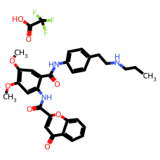 CCCNCCc1ccc(NC(=O)c2cc(OC)c(OC)cc2NC(=O)c2cc(=O)c3ccccc3o2)cc1.O=C(O)C(F)(F)F